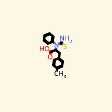 Cc1ccc(CC(C(=O)O)N(C(N)=S)c2ccccc2)cc1